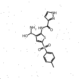 Cc1ccc(S(=O)(=O)c2cc(C(N)O)c(NC(=O)c3cc[nH]n3)s2)cc1